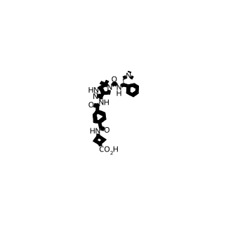 CN(C)C[C@@H](NC(=O)N1Cc2c(NC(=O)c3ccc(C(=O)NC45CC(C(=O)O)(C4)C5)cc3)n[nH]c2C1(C)C)c1ccccc1